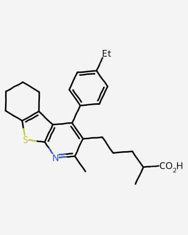 CCc1ccc(-c2c(CCCC(C)C(=O)O)c(C)nc3sc4c(c23)CCCC4)cc1